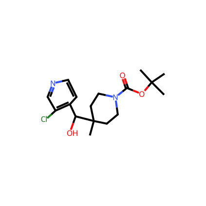 CC(C)(C)OC(=O)N1CCC(C)(C(O)c2ccncc2Cl)CC1